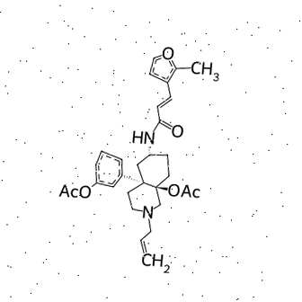 C=CCN1CC[C@@]2(c3cccc(OC(C)=O)c3)C[C@H](NC(=O)/C=C/c3ccoc3C)CC[C@]2(OC(C)=O)C1